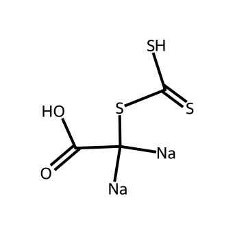 O=C(O)[C]([Na])([Na])SC(=S)S